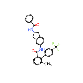 Cc1cccc(C(=O)Nc2ccc3c(c2)CC(NC(=O)c2ccccc2)C3)c1-c1ccc(C(F)(F)F)cc1